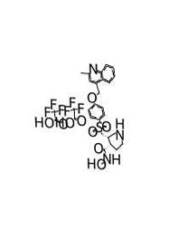 Cc1cc(COc2ccc(S(=O)(=O)C[C@@H]3CNCC[C@@H]3C(=O)NO)cc2)c2ccccc2n1.O=C(O)C(F)(F)F.O=C(O)C(F)(F)F